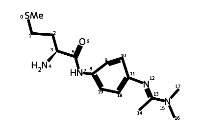 CSCC[C@H](N)C(=O)Nc1ccc(/N=C(\C)N(C)C)cc1